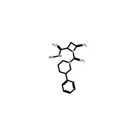 C=C(NCCC)C1CC(=C)N1C(=C)N1CCCC(c2ccccc2)C1